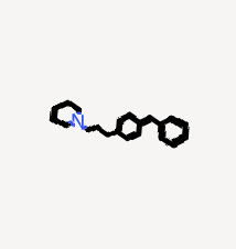 C1=CC(CCCN2CCCCC2)=CCC1=Cc1ccccc1